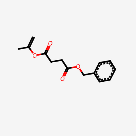 C=C(C)OC(=O)CCC(=O)OCc1ccccc1